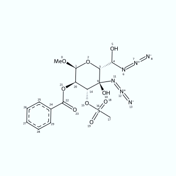 CO[C@H]1O[C@H](C(O)N=[N+]=[N-])[C@](O)(N=[N+]=[N-])[C@H](OS(C)(=O)=O)[C@H]1OC(=O)c1ccccc1